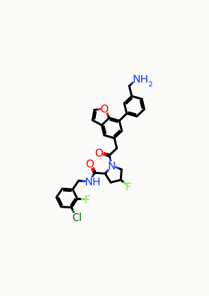 NCc1cccc(-c2cc(CC(=O)N3CC(F)CC3C(=O)NCc3cccc(Cl)c3F)cc3ccoc23)c1